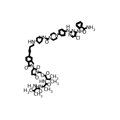 CC(C)[C@H](N)C(=O)N[C@@H](C)C(=O)N[C@H](C(=O)OCN1C(=O)CCC(N2Cc3cc(C#CCCN[C@H]4CC[C@@H](NC(=O)N5CCN(c6ccc(Nc7ncc(Cl)c(Nc8ccccc8C(N)=O)n7)cc6)CC5)CC4)ccc3C2=O)C1=O)C(C)C